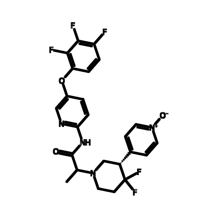 CC(C(=O)Nc1ccc(Oc2ccc(F)c(F)c2F)cn1)N1CCC(F)(F)[C@@H](c2cc[n+]([O-])cc2)C1